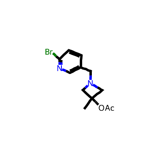 CC(=O)OC1(C)CN(Cc2ccc(Br)nc2)C1